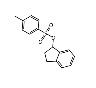 Cc1ccc(S(=O)(=O)OC2CCc3ccccc32)cc1